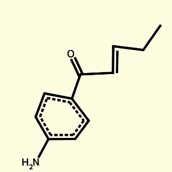 CCC=CC(=O)c1ccc(N)cc1